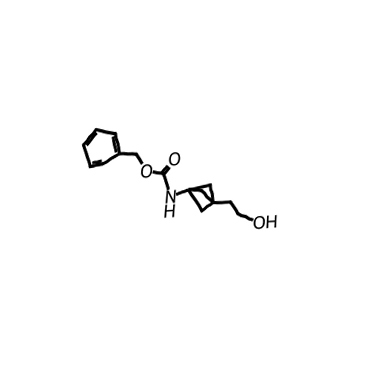 O=C(NC12CC(CCO)(C1)C2)OCc1ccccc1